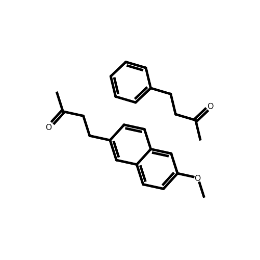 CC(=O)CCc1ccccc1.COc1ccc2cc(CCC(C)=O)ccc2c1